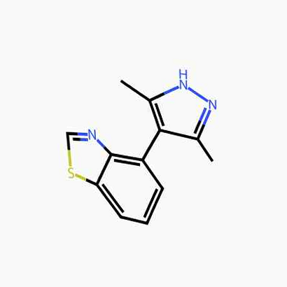 Cc1n[nH]c(C)c1-c1cccc2scnc12